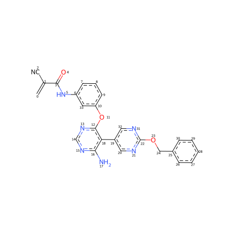 C=C(C#N)C(=O)Nc1cccc(Oc2ncnc(N)c2-c2cnc(OCc3ccccc3)nc2)c1